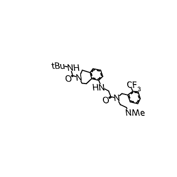 CNCCN(Cc1ccccc1C(F)(F)F)C(=O)CNc1cccc2c1CCN(C(=O)NC(C)(C)C)C2